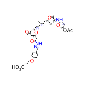 CC(=O)O[C@@H](C)/C=C\C(=O)N[C@@H]1C[C@H](C)[C@H](C/C=C(C)/C=C/[C@@H]2C[C@]3(CO3)C[C@@H](CC(=O)N/N=C(\C)c3ccc(OCCCC(=O)O)cc3)O2)O[C@@H]1C